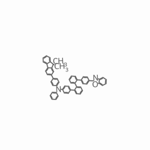 CC1(C)c2ccccc2-c2ccc(-c3ccc(N(c4ccccc4)c4ccc(-c5ccccc5-c5ccccc5-c5ccc(-c6nc7ccccc7o6)cc5)cc4)cc3)cc21